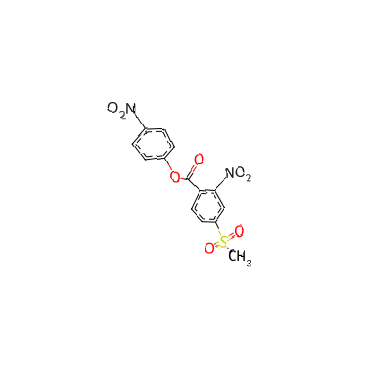 CS(=O)(=O)c1ccc(C(=O)Oc2ccc([N+](=O)[O-])cc2)c([N+](=O)[O-])c1